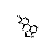 O=c1ccn(-c2cncc3[nH]ccc23)c(=O)[nH]1